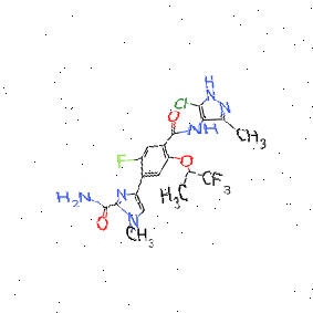 Cc1n[nH]c(Cl)c1NC(=O)c1cc(F)c(-c2cn(C)c(C(N)=O)n2)cc1OC(C)C(F)(F)F